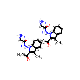 CC(=O)c1c(C)c2ccccc2n1NC(=O)CN.CC(=O)c1c(C)c2ccccc2n1NC(=O)CN